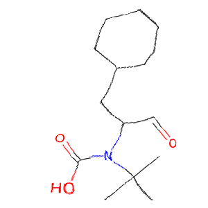 CC(C)(C)N(C(=O)O)C(C=O)CC1CCCCC1